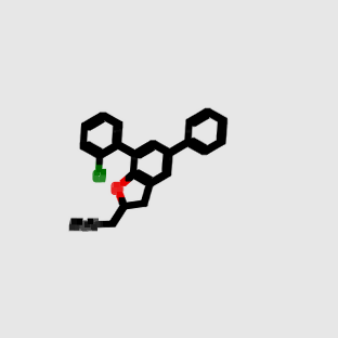 CNCC1Cc2cc(-c3ccccc3)cc(-c3ccccc3Cl)c2O1